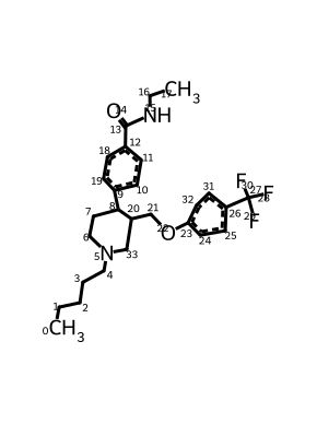 CCCCCN1CCC(c2ccc(C(=O)NCC)cc2)C(COc2ccc(C(F)(F)F)cc2)C1